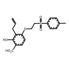 C=CCc1c(OCCS(=O)(=O)c2ccc(C)cc2)ccc(C(=O)O)c1O